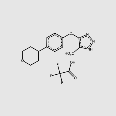 O=C(O)C(F)(F)F.O=C(O)c1[nH]nnc1Oc1ccc(C2CCOCC2)cc1